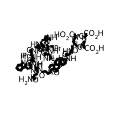 CSCC[C@H](NC(=O)[C@H](CC(C)C)NC(=O)[C@H](Cc1c[nH]cn1)NC(=O)CNC(=O)[C@@H](NC(=O)[C@H](C)NC(=O)[C@H](Cc1c[nH]c2ccccc12)NC(=O)[C@H](CCC(N)=O)NC(=O)CC[C@@H](C)[C@H]1CCC2C3CC[C@@H]4C[C@@H](NC(=O)CNC(=O)CN5CCN(CC(=O)O)CCN(CC(=O)O)CCN(CC(=O)O)CC5)CC[C@]4(C)C3CC(=O)[C@@]21C)C(C)C)C(N)=O